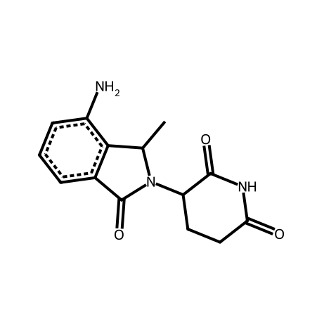 CC1c2c(N)cccc2C(=O)N1C1CCC(=O)NC1=O